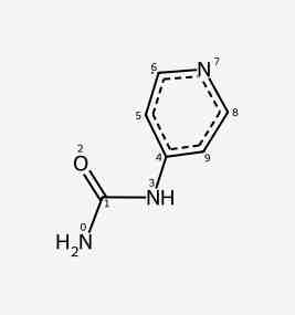 NC(=O)Nc1c[c]ncc1